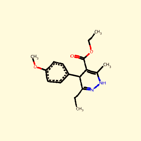 CCOC(=O)C1=C(C)NN=C(CC)C1c1ccc(OC)cc1